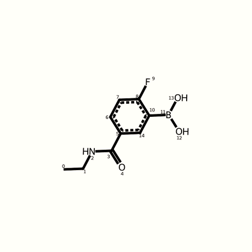 CCNC(=O)c1ccc(F)c(B(O)O)c1